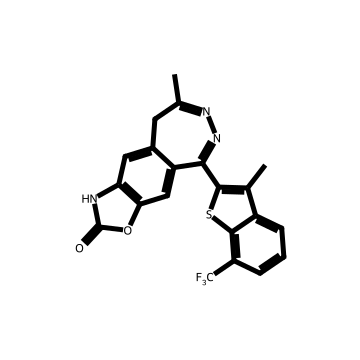 CC1=NN=C(c2sc3c(C(F)(F)F)cccc3c2C)c2cc3oc(=O)[nH]c3cc2C1